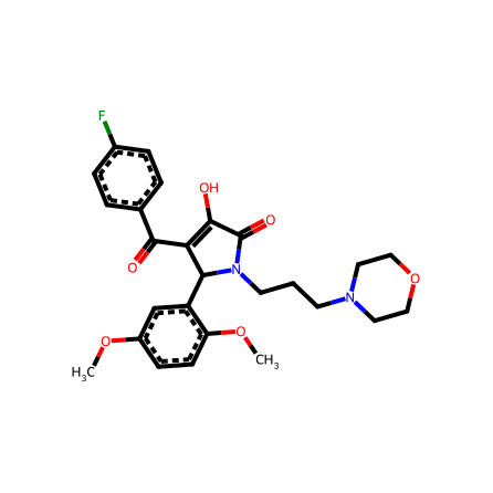 COc1ccc(OC)c(C2C(C(=O)c3ccc(F)cc3)=C(O)C(=O)N2CCCN2CCOCC2)c1